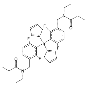 CCC(=O)N(CC)Cc1ccc(F)[c]([Ti]([C]2=CC=CC2)([C]2=CC=CC2)[c]2c(F)ccc(CN(CC)C(=O)CC)c2F)c1F